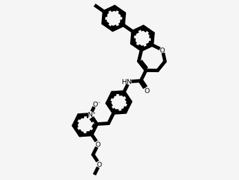 COCOc1ccc[n+]([O-])c1Cc1ccc(NC(=O)C2=Cc3cc(-c4ccc(C)cc4)ccc3OCC2)cc1